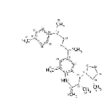 C=C(Nc1ccc(C(C)CC[C@@H](C)c2ccc(C)cc2)cc1C)[C@@H](C)C[C@@H]1CCC[C@@H]1C